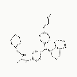 COCOc1ccc(C(=C2CCCc3ccccc32)c2ccc(OC(C)NCC3CCCCC3)cc2)cc1